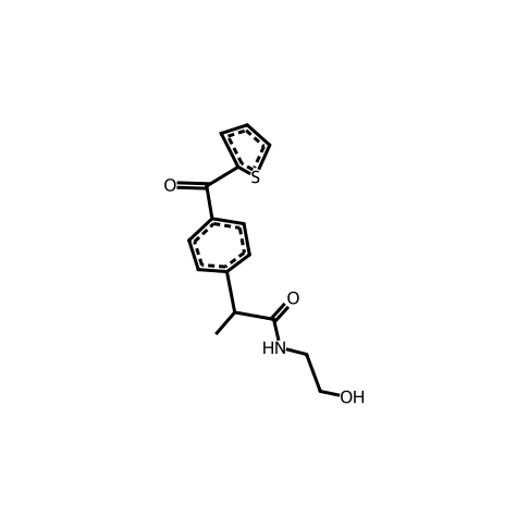 CC(C(=O)NCCO)c1ccc(C(=O)c2cccs2)cc1